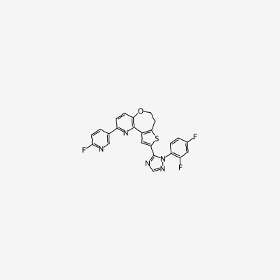 Fc1ccc(-n2ncnc2-c2cc3c(s2)CCOc2ccc(-c4ccc(F)nc4)nc2-3)c(F)c1